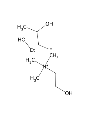 CC(O)CF.CCO.C[N+](C)(C)CCO